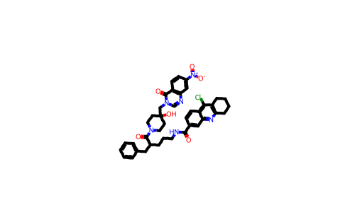 O=C(NCCCC(Cc1ccccc1)C(=O)N1CCC(O)(Cn2cnc3cc([N+](=O)[O-])ccc3c2=O)CC1)c1ccc2c(Cl)c3c(nc2c1)CCCC3